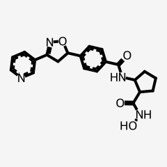 O=C(NC1CCCC1C(=O)NO)c1ccc(C2CC(c3cccnc3)=NO2)cc1